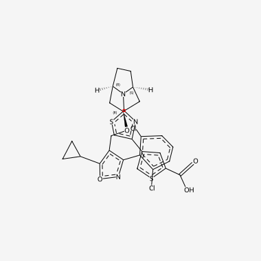 O=C(O)c1cc(-c2csc(N3[C@@H]4CC[C@H]3C[C@@H](OCc3c(-c5c(Cl)cccc5Cl)noc3C3CC3)C4)n2)cs1